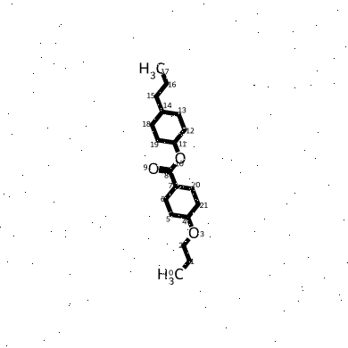 CCCOC1CCC(C(=O)OC2CCC(CCC)CC2)CC1